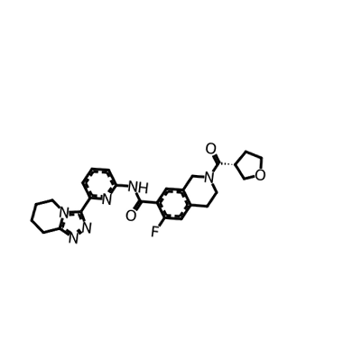 O=C(Nc1cccc(-c2nnc3n2CCCC3)n1)c1cc2c(cc1F)CCN(C(=O)[C@@H]1CCOC1)C2